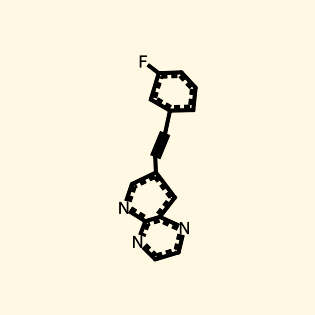 Fc1cccc(C#Cc2cnc3nccnc3c2)c1